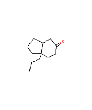 CCCC12CCCC1CC(=O)CC2